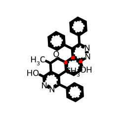 CC(C(=O)C(C)c1c(O)nnc(-c2ccccc2)c1-c1ccccc1)c1c(O)nnc(-c2ccccc2)c1-c1ccccc1